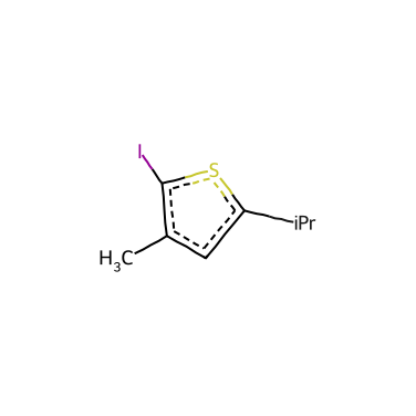 Cc1cc(C(C)C)sc1I